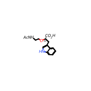 CC(=O)NCCO[C@@H](Cc1c[nH]c2ccccc12)C(=O)O